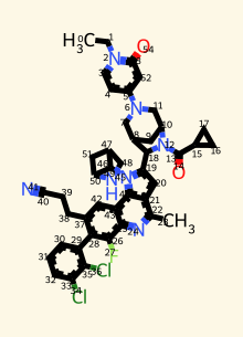 CCn1ccc(N2CC3CC(C2)N(C(=O)C2CC2)C3c2cc3c(C)nc4c(F)c(-c5cccc(Cl)c5Cl)c(CCC#N)cc4c3n2C2C3CNC2C3)cc1=O